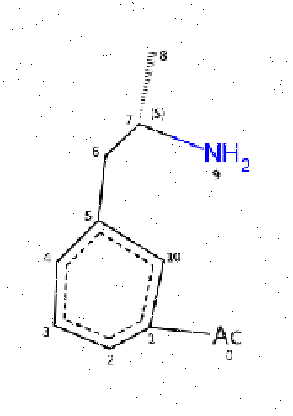 CC(=O)c1cccc(C[C@H](C)N)c1